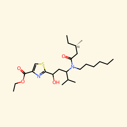 CCCCCCN(C(=O)C[C@@H](C)CC)C(CC(O)c1nc(C(=O)OCC)cs1)C(C)C